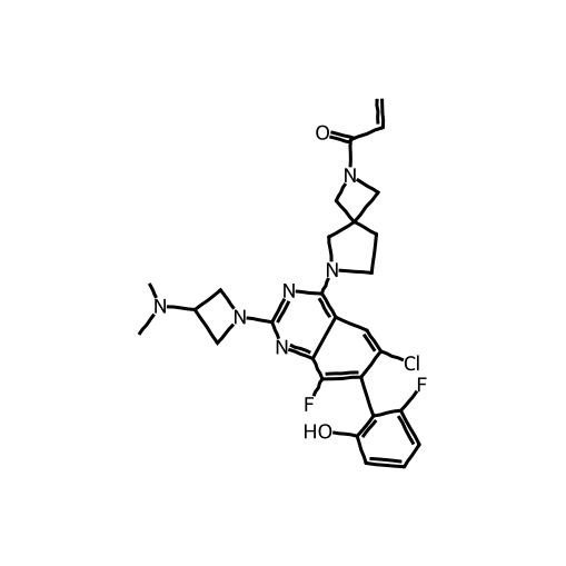 C=CC(=O)N1CC2(CCN(c3nc(N4CC(N(C)C)C4)nc4c(F)c(-c5c(O)cccc5F)c(Cl)cc34)C2)C1